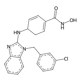 O=C(NO)C1=CCC(Nc2nc3ccccc3n2Cc2cccc(Cl)c2)C=C1